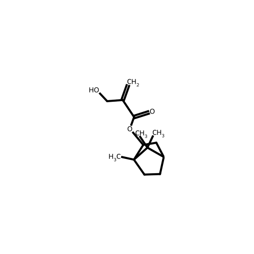 C=C(CO)C(=O)OC1CC2CCC1(C)C2(C)C